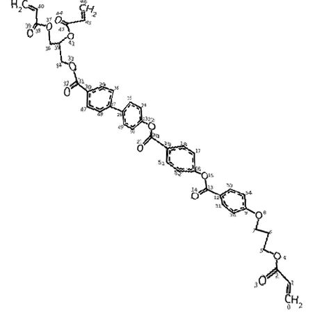 C=CC(=O)OCCCOc1ccc(C(=O)Oc2ccc(C(=O)Oc3ccc(-c4ccc(C(=O)OCC(COC(=O)C=C)OC(=O)C=C)cc4)cc3)cc2)cc1